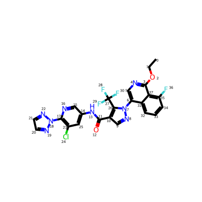 CCOc1ncc(-n2ncc(C(=O)Nc3cnc(-n4nccn4)c(Cl)c3)c2C(F)(F)F)c2cccc(F)c12